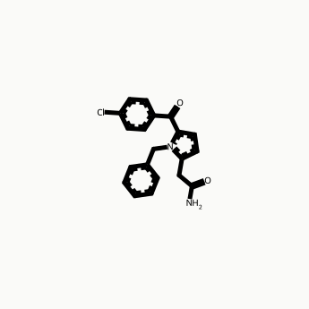 NC(=O)Cc1ccc(C(=O)c2ccc(Cl)cc2)n1Cc1ccccc1